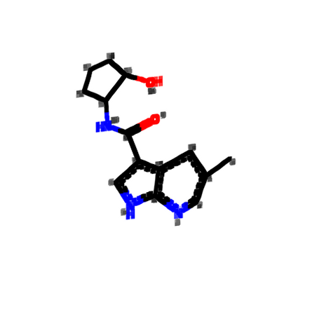 Cc1cnc2[nH]cc(C(=O)NC3CCCC3O)c2c1